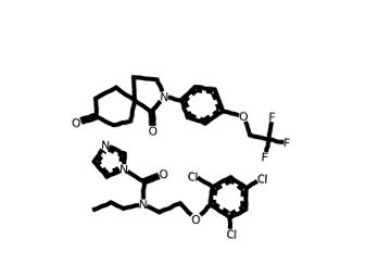 CCCN(CCOc1c(Cl)cc(Cl)cc1Cl)C(=O)n1ccnc1.O=C1CCC2(CC1)CCN(c1ccc(OCC(F)(F)F)cc1)C2=O